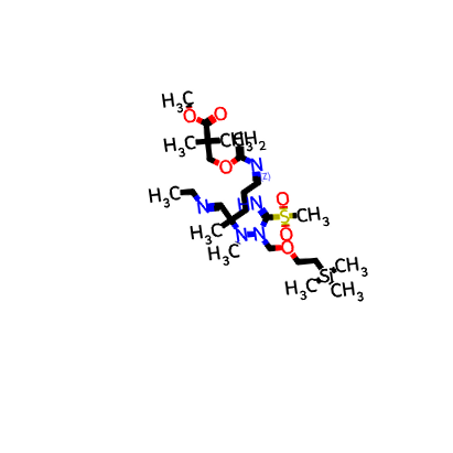 C=C(/N=C\CCC(C)(C=NCC)N(C)N(COCC[Si](C)(C)C)C(=N)S(C)(=O)=O)OCC(C)(C)C(=O)OC